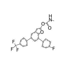 CNC(=O)Oc1cc2cc(-c3ccc(C(F)(F)F)cc3)cc(-c3ccc(F)cc3)c2o1